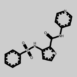 O=C(Nc1ccncc1)c1sccc1NS(=O)(=O)c1ccccc1